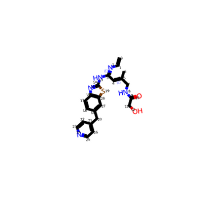 C=C/N=C(\C=C(/C)CNC(=O)CO)Nc1nc2ccc(Cc3ccncc3)cc2s1